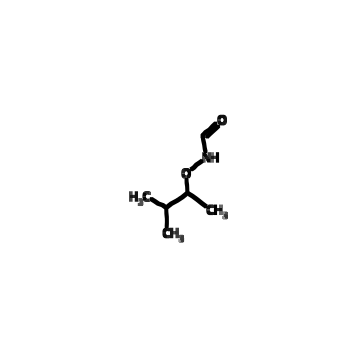 CC(C)C(C)ONC=O